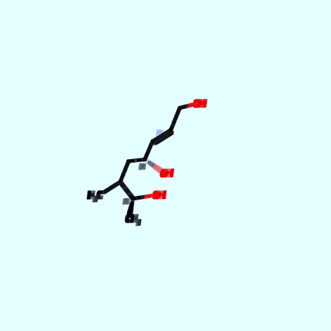 CC(C[C@@H](O)/C=C/CO)[C@H](C)O